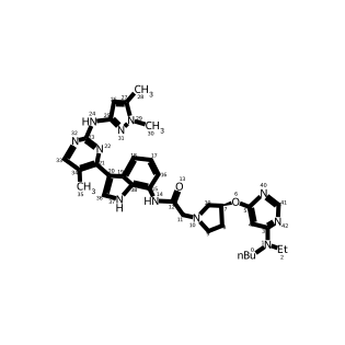 CCCCN(CC)c1cc(O[C@H]2CCN(CC(=O)Nc3cccc4c(-c5nc(Nc6cc(C)n(C)n6)ncc5C)c[nH]c34)C2)ncn1